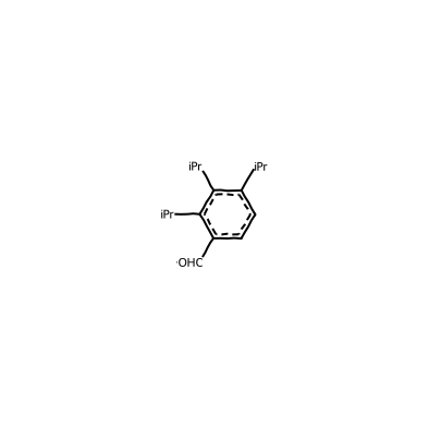 CC(C)c1ccc([C]=O)c(C(C)C)c1C(C)C